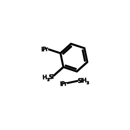 CC(C)[SiH3].CC(C)c1ccccc1[SiH3]